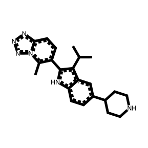 Cc1c(-c2[nH]c3ccc(C4CCNCC4)cc3c2C(C)C)ccc2nnnn12